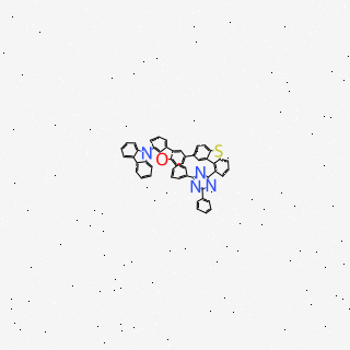 c1ccc(-c2nc(-c3ccccc3)nc(-c3cccc4sc5ccc(-c6ccc7oc8c(-n9c%10ccccc%10c%10ccccc%109)cccc8c7c6)cc5c34)n2)cc1